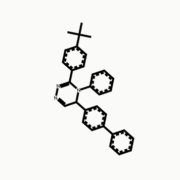 CC(C)(C)c1ccc(C2=NN=CC(c3ccc(-c4ccccc4)cc3)N2c2ccccc2)cc1